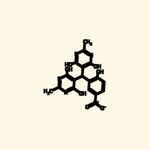 Cc1nc(O)c(C(c2cc([N+](=O)[O-])ccc2O)c2c(O)nc(C)nc2O)c(O)n1